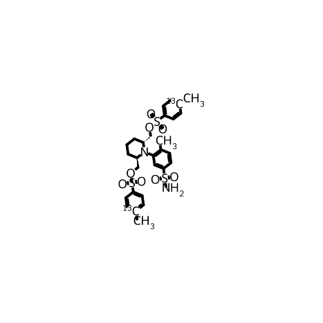 Cc1ccc(S(N)(=O)=O)cc1N1[C@@H](COS(=O)(=O)c2cc[13c](C)cc2)CCC[C@@H]1COS(=O)(=O)c1cc[13c](C)cc1